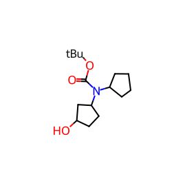 CC(C)(C)OC(=O)N(C1CCCC1)C1CCC(O)C1